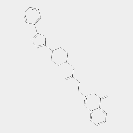 O=C(CCc1nc2ccccc2c(=O)[nH]1)NC1CCC(c2nnc(-c3cccnc3)o2)CC1